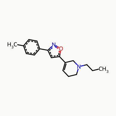 CCCN1CCC=C(c2cc(-c3ccc(C)cc3)no2)C1